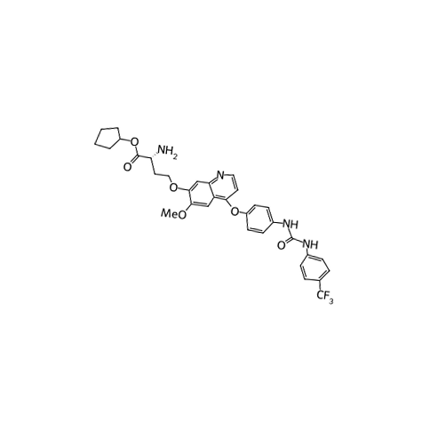 COc1cc2c(Oc3ccc(NC(=O)Nc4ccc(C(F)(F)F)cc4)cc3)ccnc2cc1OCC[C@@H](N)C(=O)OC1CCCC1